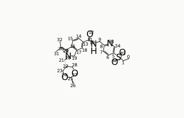 CCS(=O)(=O)c1ccc(CNC(=O)c2ccc3c(c2)CN(C[C@H]2CO[C@H](C)OC2)[C@H]3C(C)C)nc1